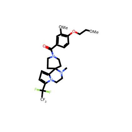 COCCOc1ccc(C(=O)N2CCC3(CC2)c2ccc(C(F)(F)C(F)(F)F)n2CCN3C)cc1OC